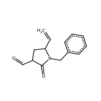 C=CC1CC(C=O)C(=O)N1Cc1ccccc1